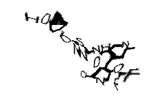 Cc1cc(-c2cc(Cl)ncc2OC(F)F)c(C(=O)Nc2nnc(OC[C@H]3CC[C@H](O)CC3)s2)cn1